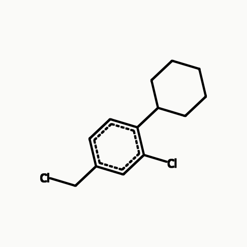 ClCc1ccc(C2CCCCC2)c(Cl)c1